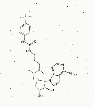 CC(C)N(CCCNC(=O)Nc1ccc(C(C)(C)C)cc1)C[C@@]1(n2ccc3c(N)ncnc32)OC[C@@H](O)[C@@H]1O